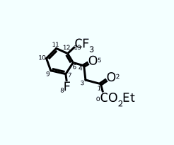 CCOC(=O)C(=O)CC(=O)c1c(F)cccc1C(F)(F)F